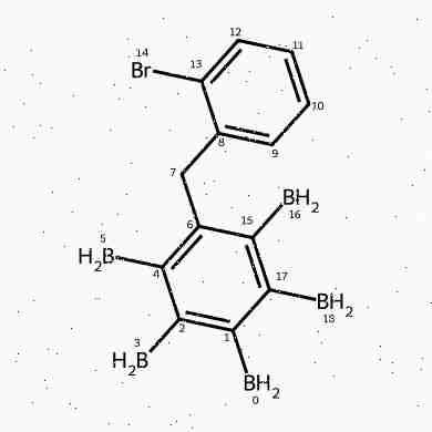 Bc1c(B)c(B)c(Cc2ccccc2Br)c(B)c1B